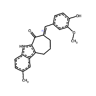 COc1cc(/C=C2\CCCc3c([nH]c4ccc(C)cc34)C2=O)ccc1O